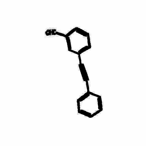 O=[C]c1cccc(C#Cc2ccccc2)c1